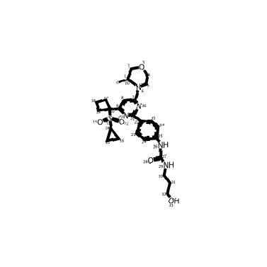 C[C@H]1COCCN1c1cc(C2(S(=O)(=O)C3CC3)CCC2)nc(-c2ccc(NC(=O)NCCCO)cc2)n1